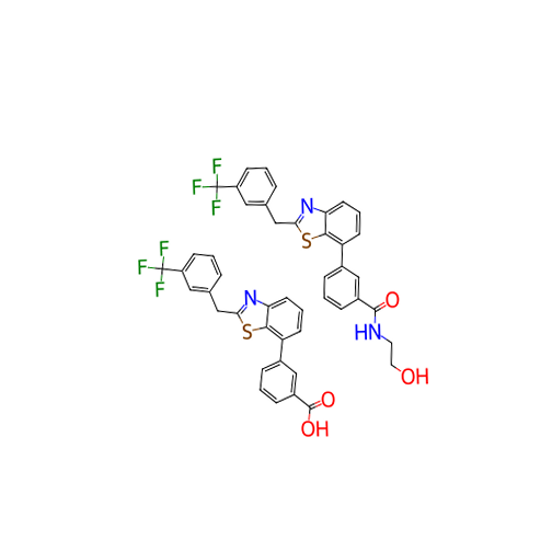 O=C(NCCO)c1cccc(-c2cccc3nc(Cc4cccc(C(F)(F)F)c4)sc23)c1.O=C(O)c1cccc(-c2cccc3nc(Cc4cccc(C(F)(F)F)c4)sc23)c1